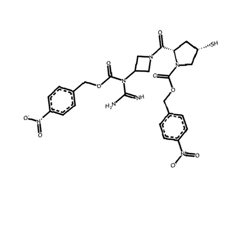 N=C(N)N(C(=O)OCc1ccc([N+](=O)[O-])cc1)C1CN(C(=O)[C@@H]2C[C@H](S)CN2C(=O)OCc2ccc([N+](=O)[O-])cc2)C1